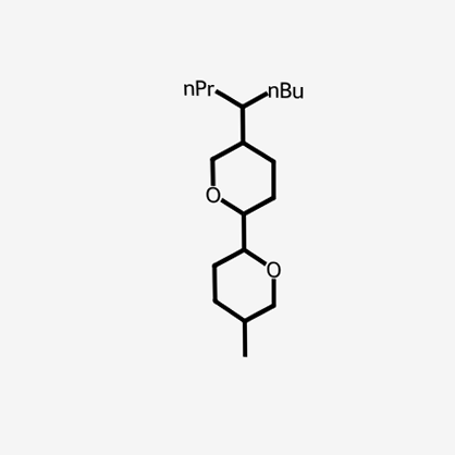 CCCCC(CCC)C1CCC(C2CCC(C)CO2)OC1